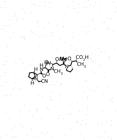 CC[C@H](C)[C@@H]([C@@H](CC(=O)N1CCC[C@H]1[C@H](OC)[C@@H](C)C(=O)O)OC)N(C)C(=O)[C@@H](NC(=O)[C@@H]1[C@H]2CC[C@H](C2)N1CC#N)C(C)C